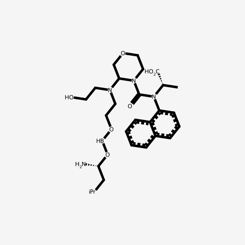 CC(C)C[C@H](N)OBOCCN(CCO)C1COCCN1C(=O)N(c1cccc2ccccc12)[C@@H](C)C(=O)O